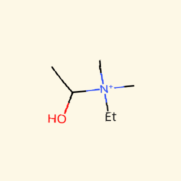 CC[N+](C)(C)C(C)O